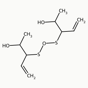 C=CC(SOSC(C=C)C(C)O)C(C)O